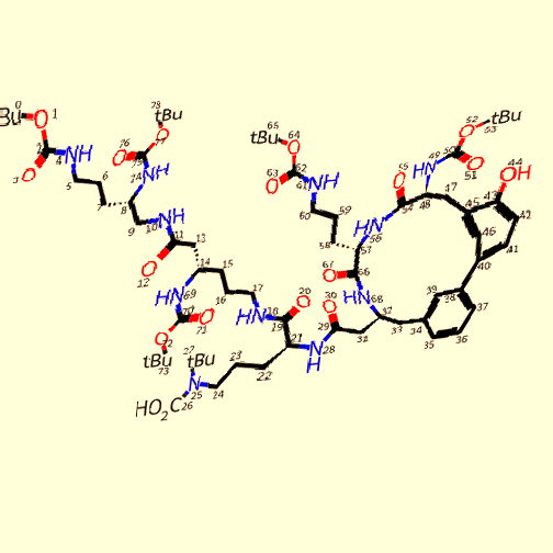 CC(C)(C)OC(=O)NCCC[C@@H](CNC(=O)C[C@H](CCCNC(=O)[C@H](CCCN(C(=O)O)C(C)(C)C)NC(=O)C[C@@H]1Cc2cccc(c2)-c2ccc(O)c(c2)C[C@H](NC(=O)OC(C)(C)C)C(=O)N[C@@H](CCCNC(=O)OC(C)(C)C)C(=O)N1)NC(=O)OC(C)(C)C)NC(=O)OC(C)(C)C